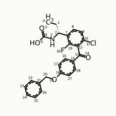 CC[C@@H](NC(=O)O)c1ccc(Cl)c(C(=O)c2ccc(OCc3ccccc3)cc2)c1F